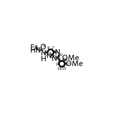 CCNC(=O)Nc1ccc2ncc(-c3cccc(OC)c3OC)nc2n1